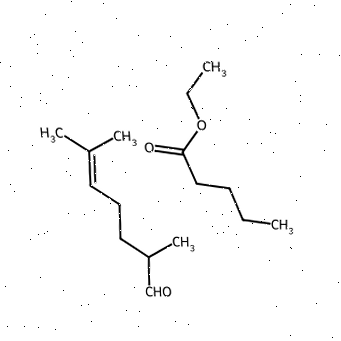 CC(C)=CCCC(C)C=O.CCCCC(=O)OCC